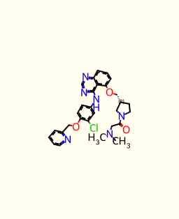 CN(C)CC(=O)N1CC[C@@H](COc2cccc3ncnc(Nc4ccc(OCc5ccccn5)c(Cl)c4)c23)C1